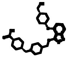 O=C(O)[C@H]1CC[C@H](CN2CCC(COc3noc4cccc(O[C@H]5CC[C@@H](CO)CC5)c34)CC2)CC1